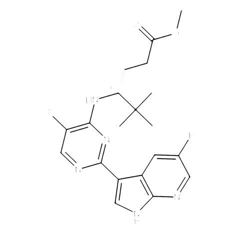 COC(=O)CC[C@@H](Nc1nc(-c2c[nH]c3ncc(F)cc23)ncc1F)C(C)(C)C